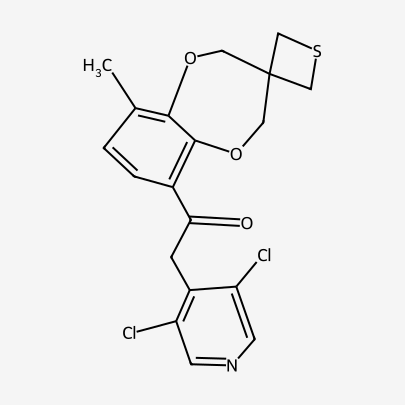 Cc1ccc(C(=O)Cc2c(Cl)cncc2Cl)c2c1OCC1(CO2)CSC1